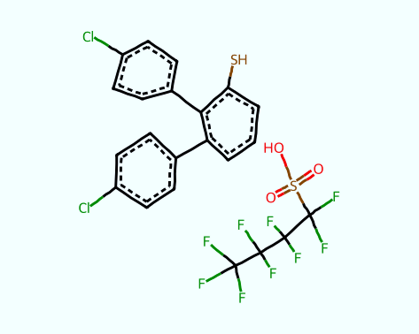 O=S(=O)(O)C(F)(F)C(F)(F)C(F)(F)C(F)(F)F.Sc1cccc(-c2ccc(Cl)cc2)c1-c1ccc(Cl)cc1